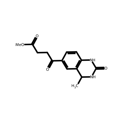 COC(=O)CCC(=O)c1ccc2c(c1)C(C)NC(=O)N2